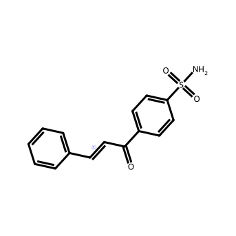 NS(=O)(=O)c1ccc(C(=O)/C=C/c2ccccc2)cc1